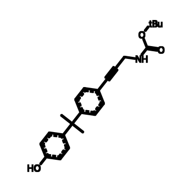 CC(C)(C)OC(=O)NCC#Cc1ccc(C(C)(C)c2ccc(O)cc2)cc1